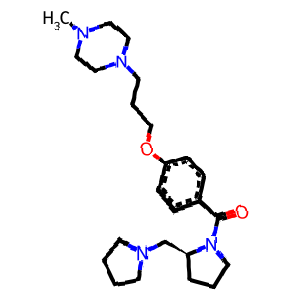 CN1CCN(CCCOc2ccc(C(=O)N3CCC[C@H]3CN3CCCC3)cc2)CC1